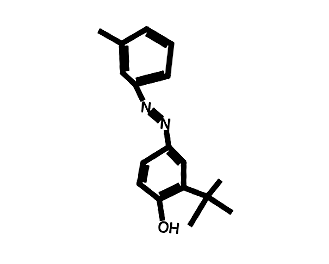 Cc1cccc(/N=N/c2ccc(O)c(C(C)(C)C)c2)c1